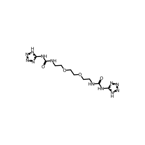 O=C(NCCOCCOCCNC(=O)Nc1nnn[nH]1)Nc1nnn[nH]1